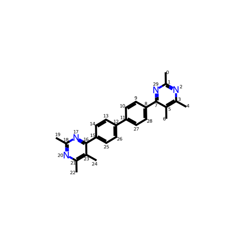 Cc1nc(C)c(C)c(-c2ccc(-c3ccc(-c4nc(C)nc(C)c4C)cc3)cc2)n1